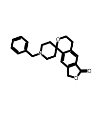 O=C1OCc2cc3c(cc21)CCOC31CCN(Cc2ccccc2)CC1